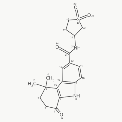 CC1(C)CCC(=O)c2[nH]c3ccc(C(=O)NC4CCS(=O)(=O)C4)cc3c21